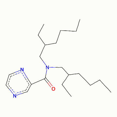 CCCCC(CC)CN(CC(CC)CCCC)C(=O)c1cnccn1